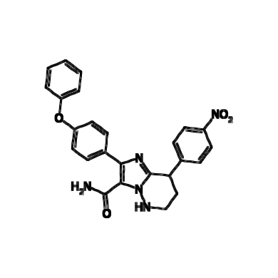 NC(=O)c1c(-c2ccc(Oc3ccccc3)cc2)nc2n1NCCC2c1ccc([N+](=O)[O-])cc1